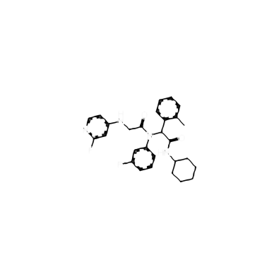 Cc1ccccc1C(C(=O)NC1CCCCC1)N(C(=O)CNc1ccnc(F)c1)c1cccc(F)c1